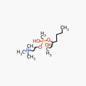 CCCCC(CC)OP(C)(O)(O)OCC[N+](C)(C)C